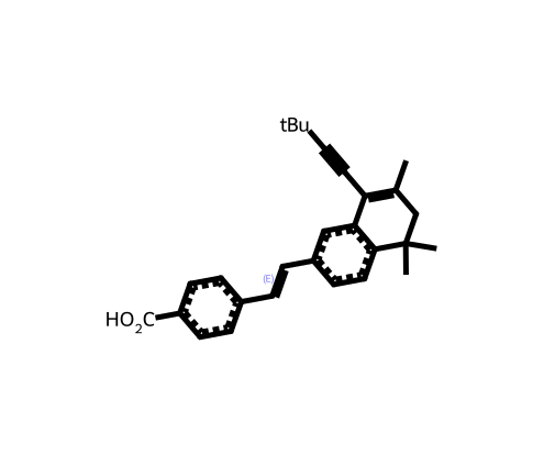 CC1=C(C#CC(C)(C)C)c2cc(/C=C/c3ccc(C(=O)O)cc3)ccc2C(C)(C)C1